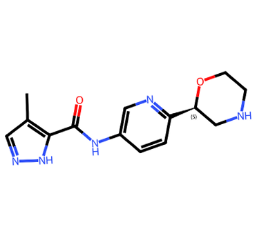 Cc1cn[nH]c1C(=O)Nc1ccc([C@@H]2CNCCO2)nc1